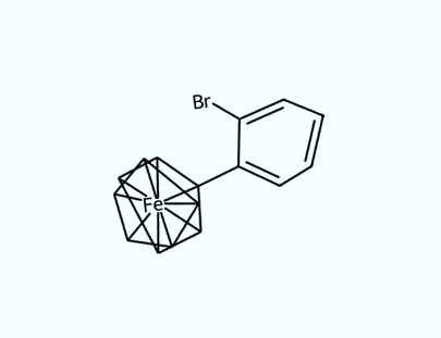 Brc1ccccc1[C]12[CH]3[CH]4[CH]5[CH]1[Fe]45321678[CH]2[CH]1[CH]6[CH]7[CH]28